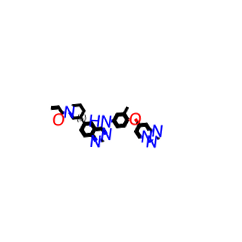 C=CC(=O)N1CCC[C@@H](c2ccc3ncnc(Nc4ccc(Oc5ccn6ncnc6c5)c(C)c4)c3c2)C1